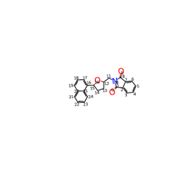 O=C1c2ccccc2C(=O)N1CC1CCC(c2cccc3ccccc23)O1